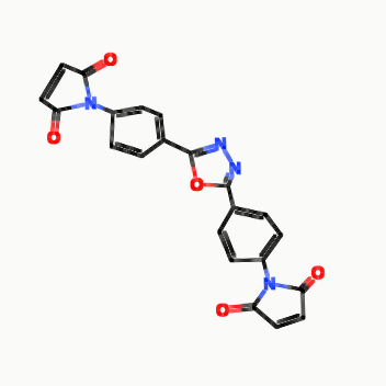 O=C1C=CC(=O)N1c1ccc(-c2nnc(-c3ccc(N4C(=O)C=CC4=O)cc3)o2)cc1